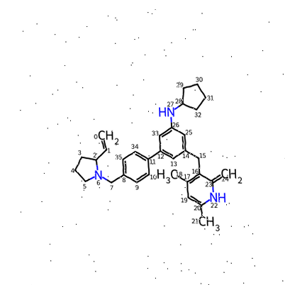 C=CC1CCCN1Cc1ccc(-c2cc(CC3=C(C)C=C(C)NC3=C)cc(NC3CCCC3)c2)cc1